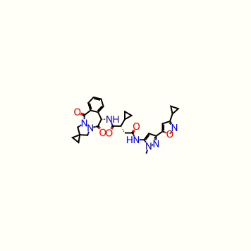 Cn1nc(-c2cc(C3CC3)no2)cc1NC(=O)C[C@H](C(=O)N[C@@H]1C(=O)N2CC3(CC3)CN2C(=O)c2ccccc21)C1CC1